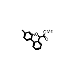 COC(=O)C(O)c1ccccc1-c1ccc(C)cc1